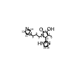 CC1=C(O)C(=O)N(CCCn2ccnc2)C1c1ncc[nH]1